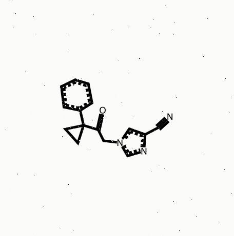 N#Cc1cn(CC(=O)C2(c3ccccc3)CC2)cn1